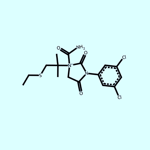 CCSCC(C)(C)[N+]1(C(N)=O)CC(=O)N(c2cc(Cl)cc(Cl)c2)C1=O